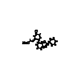 CO/C=C/c1cc(Cl)ccc1-c1cccc2nc(-c3ccccc3)oc12